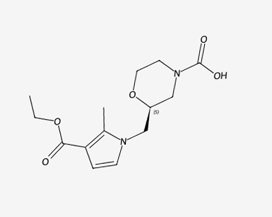 CCOC(=O)c1ccn(C[C@@H]2CN(C(=O)O)CCO2)c1C